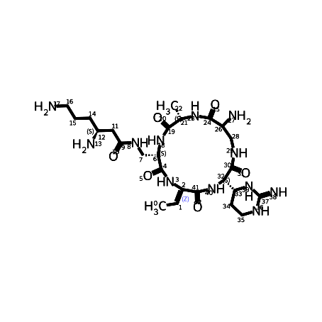 C/C=C1\NC(=O)[C@H](CNC(=O)C[C@@H](N)CCCN)NC(=O)[C@H](C)NC(=O)C(N)CNC(=O)[C@H](C2CCNC(=N)N2)NC1=O